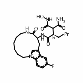 CC(C)C[C@@H](C(=O)NC1Cc2cn(c3ccc(F)cc23)CCCCCCNC1=O)C(C(N)=O)C(=O)NO